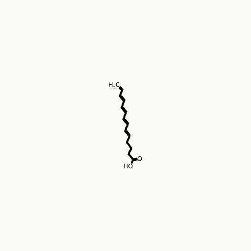 C=CC=CC=CC=CC=CCCCC(=O)O